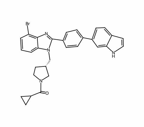 O=C(C1CC1)N1CC[C@H](Cn2c(-c3ccc(-c4ccc5cc[nH]c5c4)cc3)nc3c(Br)cccc32)C1